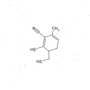 CC1=CCC(CS)C(S)=C1C#N